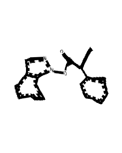 C=C(C(=O)On1ncc2ccccc21)c1ccccc1